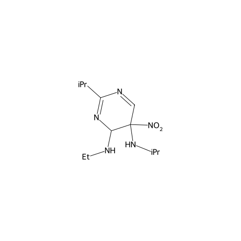 CCNC1N=C(C(C)C)N=CC1(NC(C)C)[N+](=O)[O-]